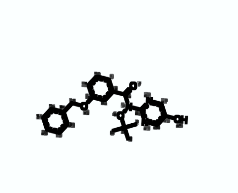 CC(C)(C)ON(C(=O)c1cccc(OCc2ccccc2)c1)c1ncc(O)cn1